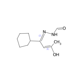 C/C(O)=C\C(=N/NC=O)C1CCCCC1